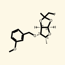 COc1cccc(CO[C@@H]2[C@H]3OC(C)(CF)O[C@H]3O[C@@H]2C)c1